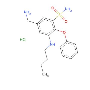 CCCCNc1cc(CN)cc(S(N)(=O)=O)c1Oc1ccccc1.Cl